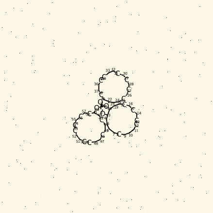 O=P(OC1CCCCCCCCCCCCCCCCC1)(OC1CCCCCCCCCCCCCCCCC1)OC1CCCCCCCCCCCCCCCCC1